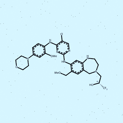 COCc1cc2c(cc1Nc1ncc(Cl)c(Nc3ccc(N4CCOCC4)cc3OC)n1)NCCN(C[C@@H](O)C(F)(F)F)C2